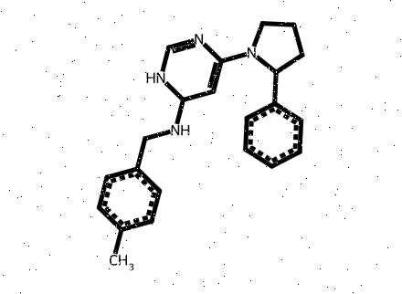 Cc1ccc(CNC2C=C(N3CCCC3c3ccccc3)N=CN2)cc1